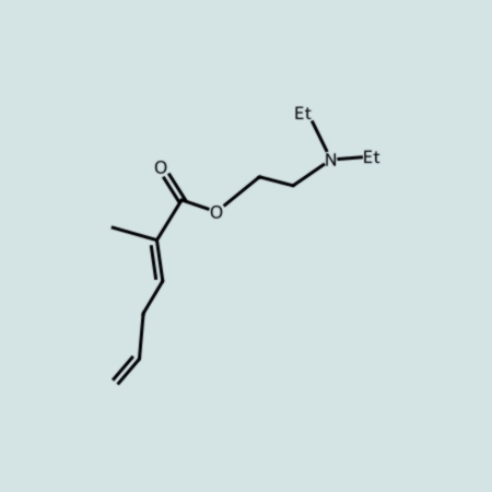 C=CCC=C(C)C(=O)OCCN(CC)CC